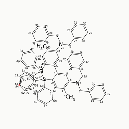 Cc1cc2c(cc1N(Cc1ccccc1)Cc1ccccc1)-c1cc(N(Cc3ccccc3)Cc3ccccc3)c(C)cc1[Si](c1ccccc1)(c1ccccc1)[Si]2(c1ccccc1)c1ccccc1